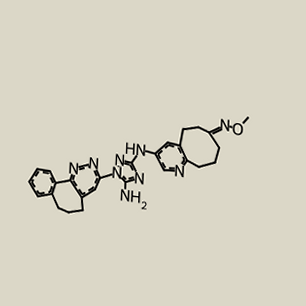 CON=C1CCCc2ncc(Nc3nc(N)n(-c4cc5c(nn4)-c4ccccc4CCC5)n3)cc2CC1